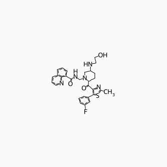 Cc1nc(C(=O)C2CCC(NCCO)CN2CNC(=O)c2cccc3cccnc23)c(-c2cccc(F)c2)s1